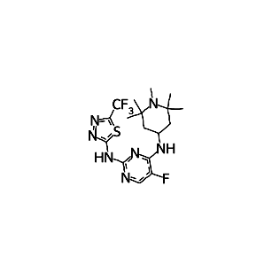 CN1C(C)(C)CC(Nc2nc(Nc3nnc(C(F)(F)F)s3)ncc2F)CC1(C)C